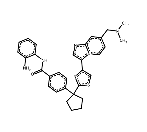 CN(C)Cc1ccn2c(-c3csc(C4(c5ccc(C(=O)Nc6ccccc6N)cc5)CCCC4)n3)cnc2c1